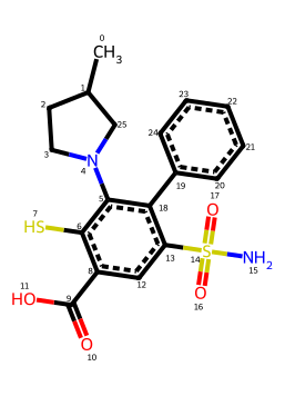 CC1CCN(c2c(S)c(C(=O)O)cc(S(N)(=O)=O)c2-c2ccccc2)C1